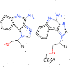 CCC(CO)n1cnc2c(N)nc3ccccc3c21.CCC(COCC(=O)O)n1cnc2c(N)nc3ccccc3c21